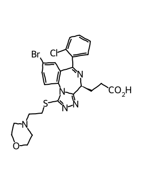 O=C(O)CC[C@@H]1N=C(c2ccccc2Cl)c2cc(Br)ccc2-n2c(SCCN3CCOCC3)nnc21